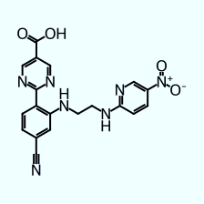 N#Cc1ccc(-c2ncc(C(=O)O)cn2)c(NCCNc2ccc([N+](=O)[O-])cn2)c1